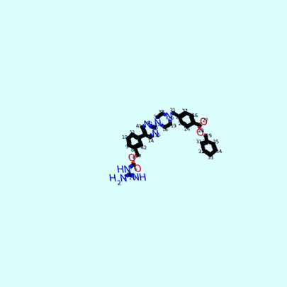 N=C(N)NC(=O)OCc1cccc(-c2cnc(N3CCN(Cc4ccc(C(=O)OCc5ccccc5)cc4)CC3)nc2)c1